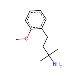 COc1ccccc1CCC(C)(C)N